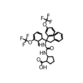 CC1C(OC(F)(F)F)=CC=CC1C(Cc1ccccc1)(NC(=O)NC1CCCC1C(=O)O)c1cccc(OC(F)(F)F)c1